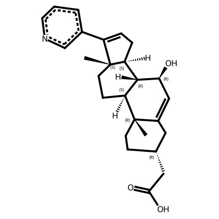 C[C@]12CC[C@@H](CC(=O)O)CC1=C[C@H](O)[C@@H]1[C@@H]2CC[C@]2(C)C(c3cccnc3)=CC[C@@H]12